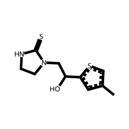 Cc1csc(C(O)CN2CCNC2=S)c1